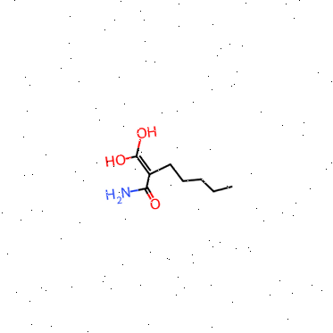 CCCCCC(C(N)=O)=C(O)O